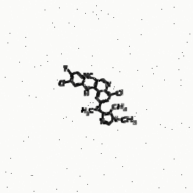 Cc1c(N(C)c2cc(Cl)c3ncc(C#N)c(Nc4ccc(F)c(Cl)c4)c3c2)ncn1C